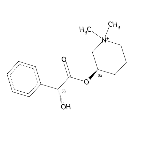 C[N+]1(C)CCC[C@@H](OC(=O)[C@H](O)c2ccccc2)C1